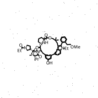 CCC(=O)N1CC[C@H](C(=O)N(C)[C@H](C(=O)N[C@H]2Cc3cc(O)cc(c3)-c3ccc4c(c3)c(c(-c3ccccc3CCOC)n4CC)CC(C)(C)COC(=O)[C@@H]3CCCN(N3)C2=O)C(C)C)C1